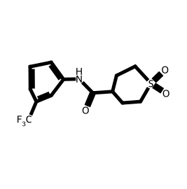 O=C(Nc1cccc(C(F)(F)F)c1)C1CCS(=O)(=O)CC1